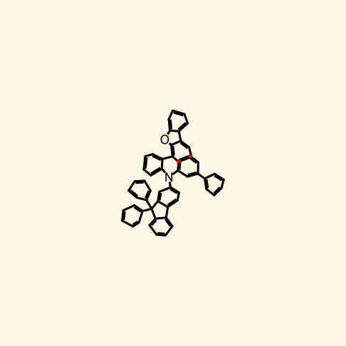 c1ccc(-c2cccc(N(c3ccc4c(c3)C(c3ccccc3)(c3ccccc3)c3ccccc3-4)c3ccccc3-c3cccc4c3oc3ccccc34)c2)cc1